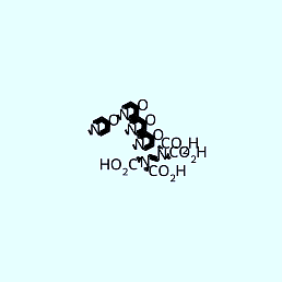 CN1CCC(=O)CC1.CN1CCC(=O)CC1.CN1CCC(=O)CC1.CN1CCC(=O)CC1.O=C(O)CN(CCN(CC(=O)O)CC(=O)O)CC(=O)O